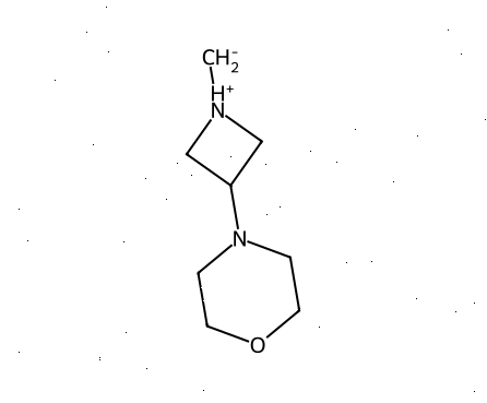 [CH2-][NH+]1CC(N2CCOCC2)C1